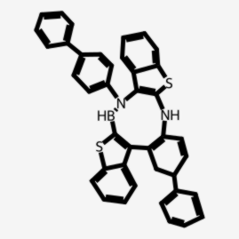 B1c2sc3ccccc3c2C2=C(C=CC(c3ccccc3)C2)Nc2sc3ccccc3c2N1c1ccc(-c2ccccc2)cc1